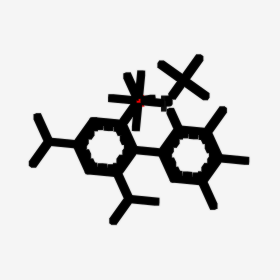 Cc1cc(-c2c(C(C)C)cc(C(C)C)cc2C(C)C)c(P(C(C)(C)C)C(C)(C)C)c(C)c1C